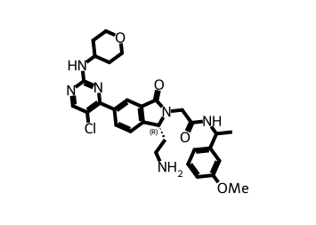 COc1cccc(C(C)NC(=O)CN2C(=O)c3cc(-c4nc(NC5CCOCC5)ncc4Cl)ccc3[C@H]2CCN)c1